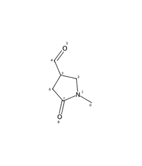 CN1CC([C]=O)CC1=O